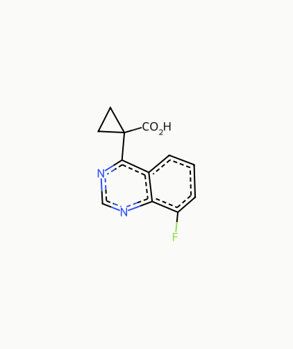 O=C(O)C1(c2ncnc3c(F)cccc23)CC1